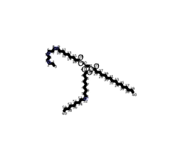 CC/C=C\C/C=C\C/C=C\CCCCCCCC(=O)OC[C@H](COC(=O)CCCCCCCCCCCCCCC)OC(=O)CCCCCCC/C=C\CCCCCCCC